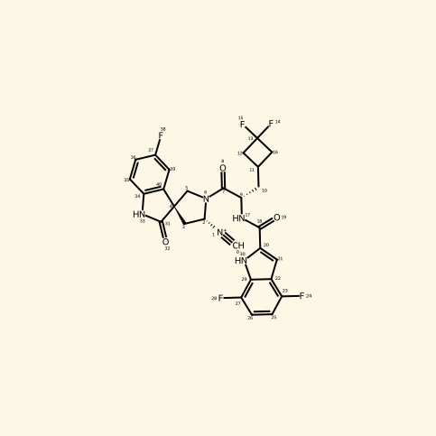 C#[N+][C@@H]1C[C@@]2(CN1C(=O)[C@H](CC1CC(F)(F)C1)NC(=O)c1cc3c(F)ccc(F)c3[nH]1)C(=O)Nc1ccc(F)cc12